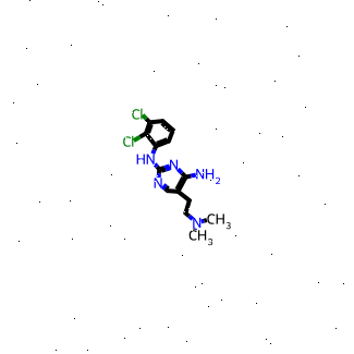 CN(C)CCc1cnc(Nc2cccc(Cl)c2Cl)nc1N